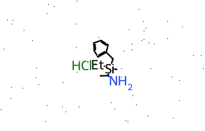 CC[Si](C)(Cc1ccccc1)C(C)N.Cl